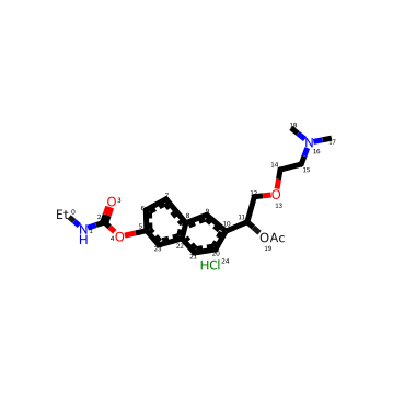 CCNC(=O)Oc1ccc2cc(C(COCCN(C)C)OC(C)=O)ccc2c1.Cl